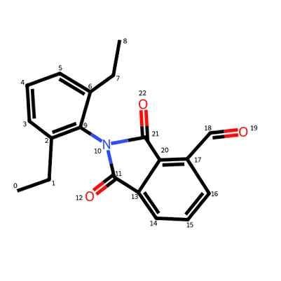 CCc1cccc(CC)c1N1C(=O)c2cccc(C=O)c2C1=O